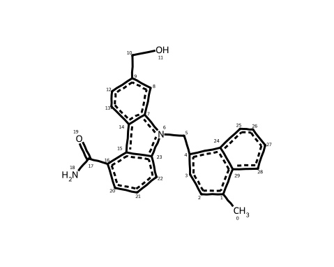 Cc1ccc(Cn2c3cc(CO)c[c]c3c3c(C(N)=O)cccc32)c2ccccc12